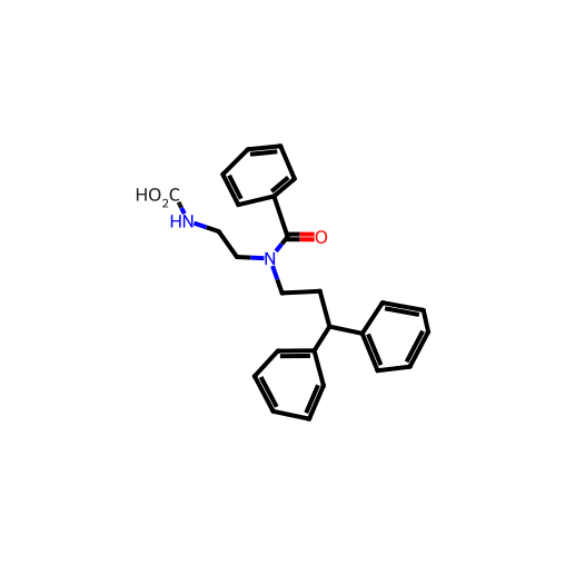 O=C(O)NCCN(CCC(c1ccccc1)c1ccccc1)C(=O)c1ccccc1